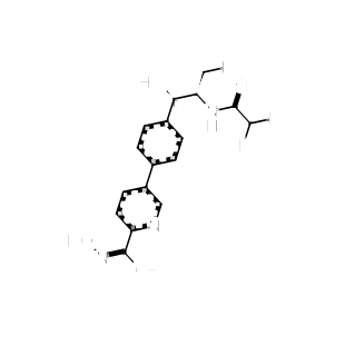 C/C(=N/O)c1ccc(-c2ccc([C@@H](O)[C@@H](CF)NC(=O)C(F)F)cc2)cn1